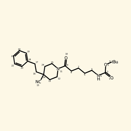 CC(C)(C)OC(=O)NCCCCC(=O)N1CCC(C#N)(CCc2ccccc2)CC1